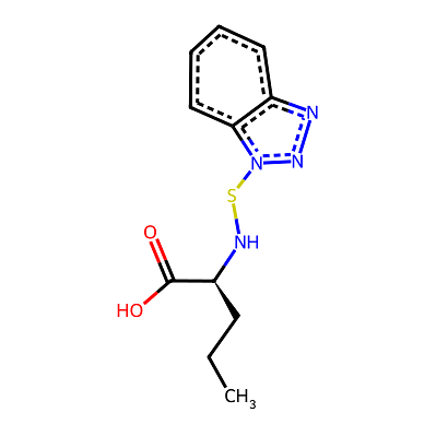 CCC[C@H](NSn1nnc2ccccc21)C(=O)O